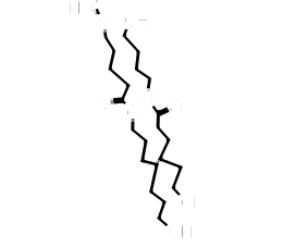 CCCCCCC(=O)OCCCCC.CCCCCCCCOC(=O)CCCCCC